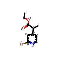 CCOC(=O)C(C)c1ccnc(Br)c1